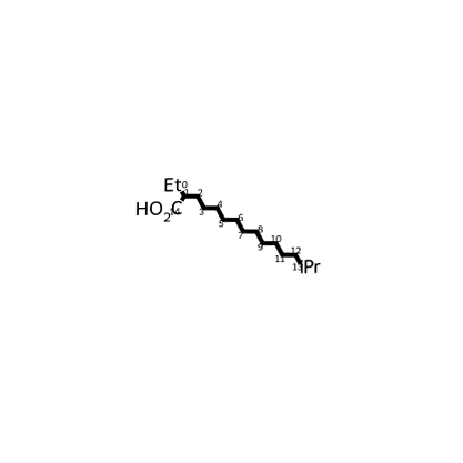 CCC(CCCCCCCCCCCC(C)C)C(=O)O